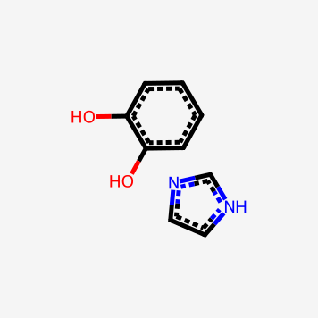 Oc1ccccc1O.c1c[nH]cn1